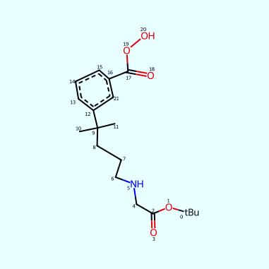 CC(C)(C)OC(=O)CNCCCC(C)(C)c1cccc(C(=O)OO)c1